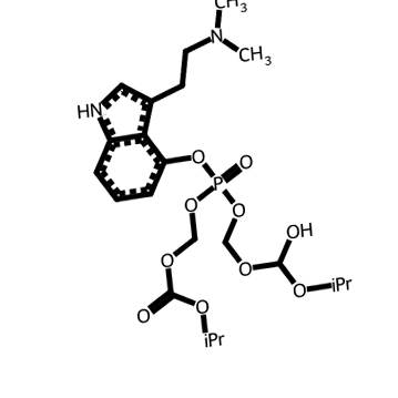 CC(C)OC(=O)OCOP(=O)(OCOC(O)OC(C)C)Oc1cccc2[nH]cc(CCN(C)C)c12